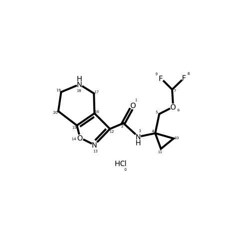 Cl.O=C(NC1(COC(F)F)CC1)c1noc2c1CNCC2